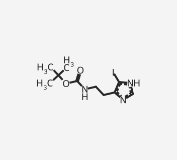 CC(C)(C)OC(=O)NCCc1nc[nH]c1I